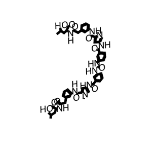 CC(C)CC(NC(=O)Cc1cccc(NC(=O)c2cc(NC(=O)c3cccc(NC(=O)Nc4cccc(C(=O)Nc5cc(C(=O)Nc6cccc(CC(=O)NC(CC(C)C)C(=O)O)c6)n(C)c5)c4)c3)cn2C)c1)C(=O)O